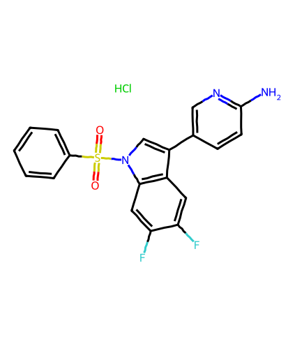 Cl.Nc1ccc(-c2cn(S(=O)(=O)c3ccccc3)c3cc(F)c(F)cc23)cn1